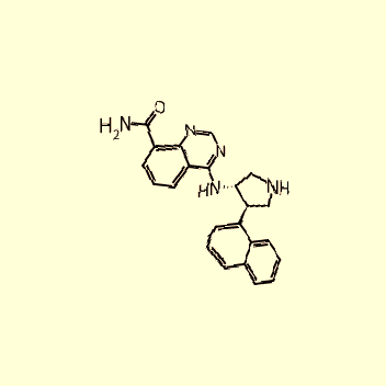 NC(=O)c1cccc2c(N[C@@H]3CNC[C@H]3c3cccc4ccccc34)ncnc12